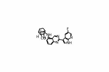 O=C(O)[C@H]1C2CCC(CC2)[C@@H]1Nc1cccc2nc(-c3c[nH]c4ncc(F)cc34)ncc12